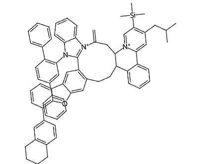 C=C1CC2C(CCc3cc4oc5c(-c6ccc7c(c6)CCCC7)cccc5c4cc3-c3n(-c4cc(-c5ccccc5)ccc4-c4ccccc4)c4ccccc4[n+]31)c1ccccc1-c1cc(CC(C)C)c([Si](C)(C)C)c[n+]12